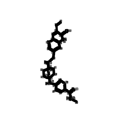 CCc1cc2ncc(CNC34CCC(Nc5ccc(C(=O)NC)nc5)(CC3)CC4)cc2[nH]c1=O